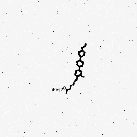 C=CCc1ccc(-c2ccc(-c3ccc(C=CCCCC(C)OCCCCC)c(F)c3)cc2)cc1